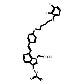 CC(C)C(=O)OSc1cn(CC(=O)O)c2c(C=Cc3ccc(OCCCCOc4cccc(F)c4F)cc3)cccc12